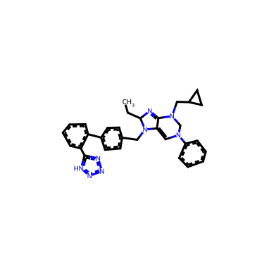 CCC1N=C2C(=CN(c3ccccc3)CN2CC2CC2)N1Cc1ccc(-c2ccccc2-c2nnn[nH]2)cc1